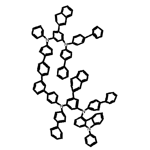 c1ccc(-c2ccc(N(c3ccc(-c4ccccc4)cc3)c3cc(-c4ccc5ccccc5c4)cc(N(c4ccccc4)c4ccc(-c5ccc(-c6cccc(-c7ccc(N(c8ccc(-c9ccccc9)cc8)c8cc(-c9ccc%10ccccc%10c9)cc(N(c9ccc(-c%10ccccc%10)cc9)c9cccc%10c9c9ccccc9n%10-c9ccccc9)c8)cc7)c6)cc5)cc4)c3)cc2)cc1